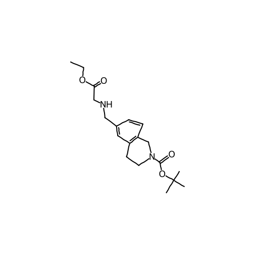 CCOC(=O)CNCc1ccc2c(c1)CCN(C(=O)OC(C)(C)C)C2